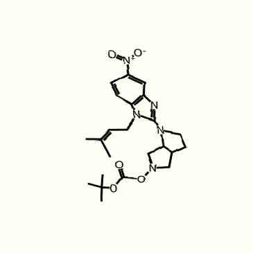 CC(C)=CCn1c(N2CCC3CN(OC(=O)OC(C)(C)C)CC32)nc2cc([N+](=O)[O-])ccc21